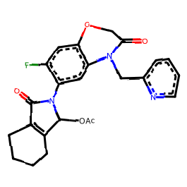 CC(=O)OC1C2=C(CCCC2)C(=O)N1c1cc2c(cc1F)OCC(=O)N2Cc1ccccn1